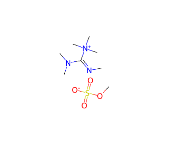 CN=C(N(C)C)[N+](C)(C)C.COS(=O)(=O)[O-]